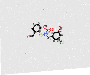 O=Cc1ccccc1SN(Cc1cc(Cl)cc(Br)c1)C(=O)O